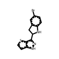 Brc1ccc2c(c1)CC(c1n[nH]c3ccsc13)N2